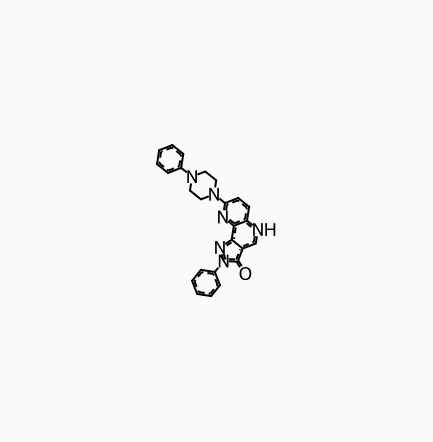 O=c1c2c[nH]c3ccc(N4CCN(c5ccccc5)CC4)nc3c-2nn1-c1ccccc1